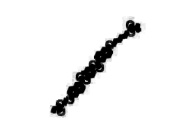 C=CC(=O)OCCOc1ccc2cc(C(=O)Oc3ccc(OC(=O)c4ccc5cc(OCCCCCCOC(=O)C(=C)C)ccc5c4)cc3C)ccc2c1